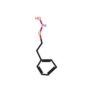 OPOCCc1ccccc1